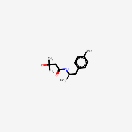 COc1ccc(C[C@H](NC(=O)CC(C)(C)O)C(=O)O)cc1